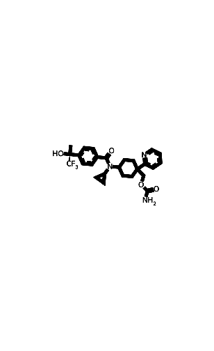 C[C@](O)(c1ccc(C(=O)N(C2CC2)C2CCC(COC(N)=O)(c3ccccn3)CC2)cc1)C(F)(F)F